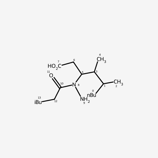 CCCCC(C)C(C)C(CC(=O)O)N(N)C(=O)CC(C)CC